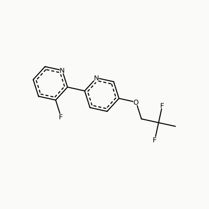 CC(F)(F)COc1ccc(-c2ncccc2F)nc1